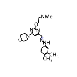 CNCCOc1nc(/C=N/Nc2ccc(C)c(C)c2)cc(N2CCOCC2)n1